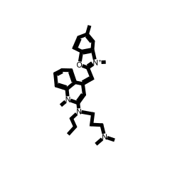 CCCN(CCCN(C)C)C1=C/C(=C/c2oc3ccc(C)cc3[n+]2C)c2ccccc2N1C